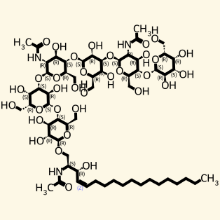 CCCCCCCCCCCCC/C=C\[C@@H](O)[C@H](CO[C@@H]1O[C@H](CO)[C@@H](O[C@@H]2O[C@H](CO)[C@H](O)[C@H](O[C@@H]3O[C@H](CO)[C@@H](O[C@@H]4O[C@H](CO)[C@H](O)[C@H](O[C@@H]5O[C@H](CO)[C@@H](O[C@@H]6O[C@H](CO)[C@H](O)[C@H](O)[C@H]6O)[C@H](O)[C@H]5NC(C)=O)[C@H]4O)[C@H](O)[C@H]3NC(C)=O)[C@H]2O)[C@H](O)[C@H]1O)NC(C)=O